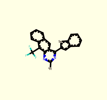 [2H]c1nc(-c2cc3ccccc3[se]2)c2cc3ccccc3c(C(F)(F)F)c2n1